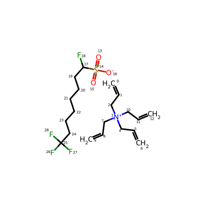 C=CC[N+](CC=C)(CC=C)CC=C.O=S(=O)([O-])C(F)CCCCCCC(F)(F)F